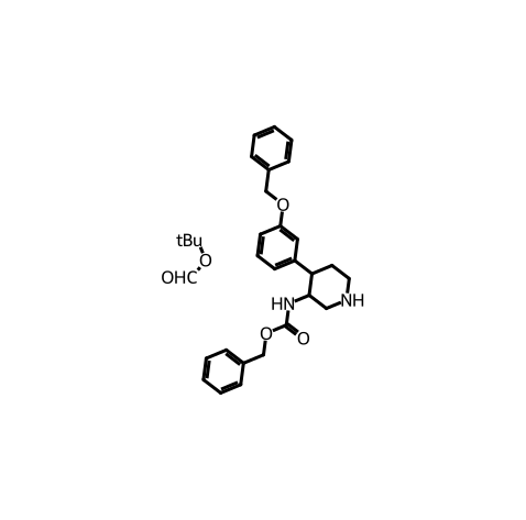 CC(C)(C)OC=O.O=C(NC1CNCCC1c1cccc(OCc2ccccc2)c1)OCc1ccccc1